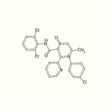 CCc1cccc(CC)c1NC(=O)c1c(-c2ccccn2)n(-c2ccc(Cl)cc2)c(C)cc1=O